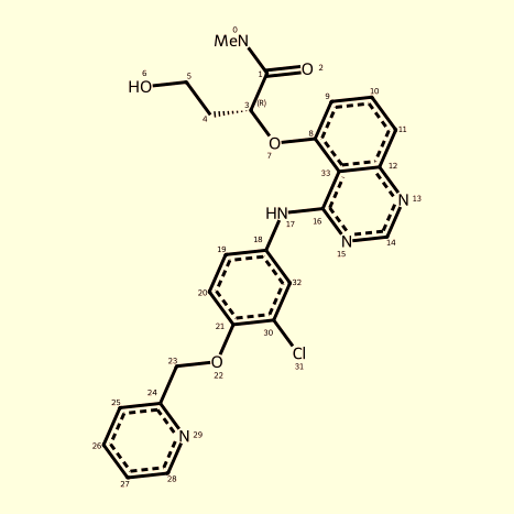 CNC(=O)[C@@H](CCO)Oc1cccc2ncnc(Nc3ccc(OCc4ccccn4)c(Cl)c3)c12